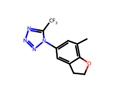 Cc1cc(-n2nnnc2C(F)(F)F)cc2c1OCC2